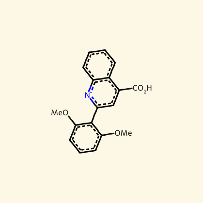 COc1cccc(OC)c1-c1cc(C(=O)O)c2ccccc2n1